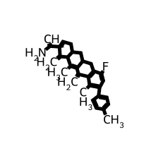 C=C(N)C1=CCC2CC3Cc4c(F)cc(-c5ccc(C)cc5)c(C)c4C(=C)C3=C(C)C2C1=C